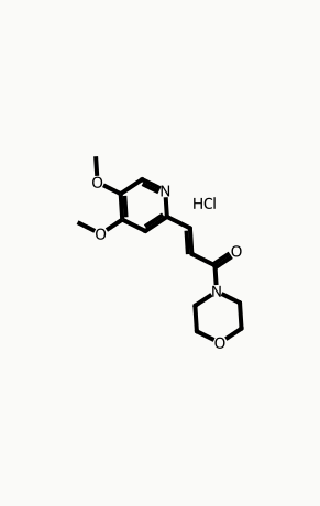 COc1cnc(/C=C/C(=O)N2CCOCC2)cc1OC.Cl